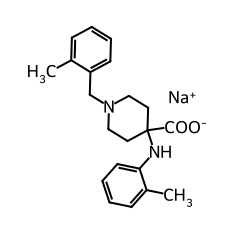 Cc1ccccc1CN1CCC(Nc2ccccc2C)(C(=O)[O-])CC1.[Na+]